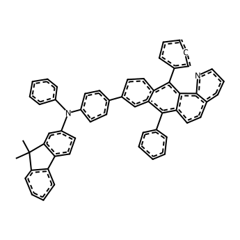 CC1(C)c2ccccc2-c2ccc(N(c3ccccc3)c3ccc(-c4ccc5c(-c6ccccc6)c6c(ccc7cccnc76)c(-c6ccccc6)c5c4)cc3)cc21